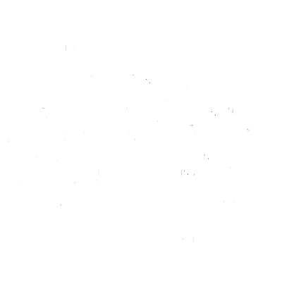 COC(=O)NN1CCC(=O)N2CCC[C@@H](C(=O)N[C@@H](CC(=O)O)C(=O)COC(=O)c3c(Cl)cccc3Cl)N2C1=O